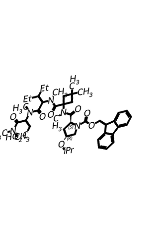 CCC(CC)C(C(=O)N(C)C(CC(=O)O)C(=O)N(C)C)N(C)C(=O)C1(N(C)C(=O)[C@@H]2C[C@@H](OC(C)C)CN2C(=O)OCC2c3ccccc3-c3ccccc32)CC(C)(C)C1